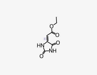 CCOC(=O)/C=C1/NC(=O)NC1=O